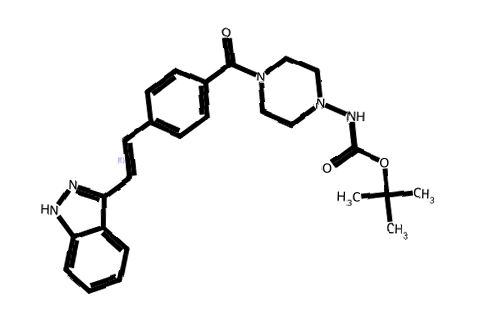 CC(C)(C)OC(=O)NN1CCN(C(=O)c2ccc(/C=C/c3n[nH]c4ccccc34)cc2)CC1